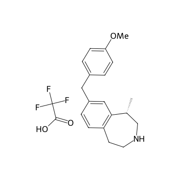 COc1ccc(Cc2ccc3c(c2)[C@H](C)CNCC3)cc1.O=C(O)C(F)(F)F